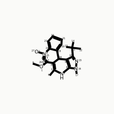 COC(=O)C1=C(C)Nc2c(c(C(C)(C)C)nn2C)C1c1ccccc1[N+](=O)[O-]